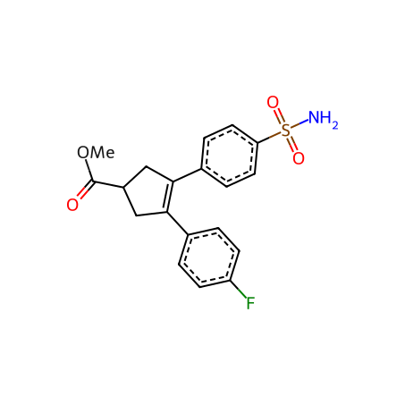 COC(=O)C1CC(c2ccc(F)cc2)=C(c2ccc(S(N)(=O)=O)cc2)C1